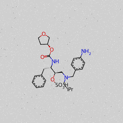 CC(C)CN(Cc1ccc(N)cc1)C[C@@H](OS(=O)(=O)O)[C@H](Cc1ccccc1)NC(=O)O[C@H]1CCOC1